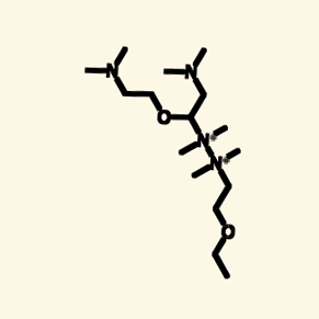 CCOCC[N+](C)(C)[N+](C)(C)C(CN(C)C)OCCN(C)C